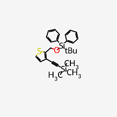 CC(C)(C)[Si](OCc1sccc1C#C[Si](C)(C)C)(c1ccccc1)c1ccccc1